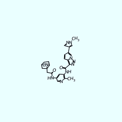 Cc1ncc(NC(=O)CN2CC3CCC2CC3)cc1NC(=O)c1nnn2cc(-c3cnn(C)c3)ccc12